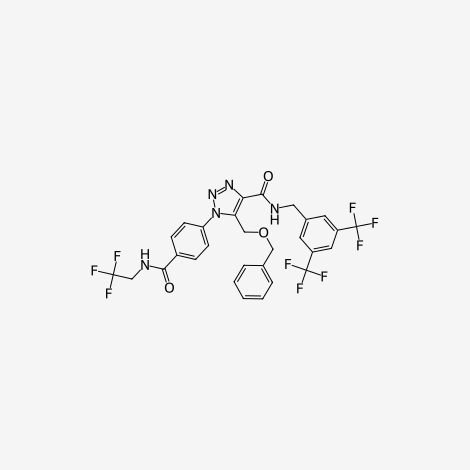 O=C(NCC(F)(F)F)c1ccc(-n2nnc(C(=O)NCc3cc(C(F)(F)F)cc(C(F)(F)F)c3)c2COCc2ccccc2)cc1